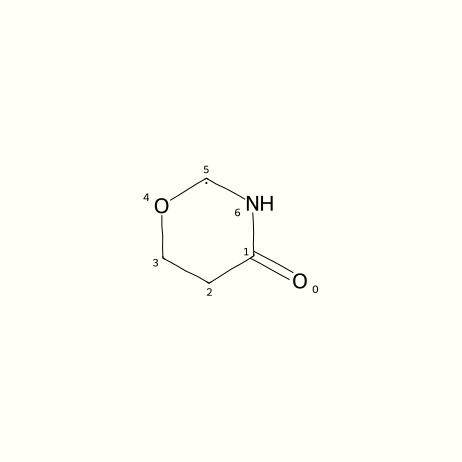 O=C1CCO[CH]N1